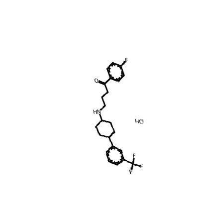 Cl.O=C(CCCNC1CCC(c2cccc(C(F)(F)F)c2)CC1)c1ccc(F)cc1